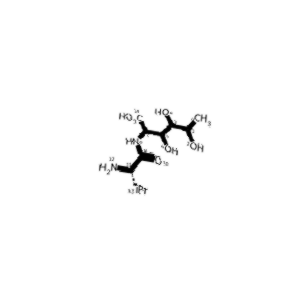 CC(O)C(O)C(O)C(NC(=O)[C@@H](N)C(C)C)C(=O)O